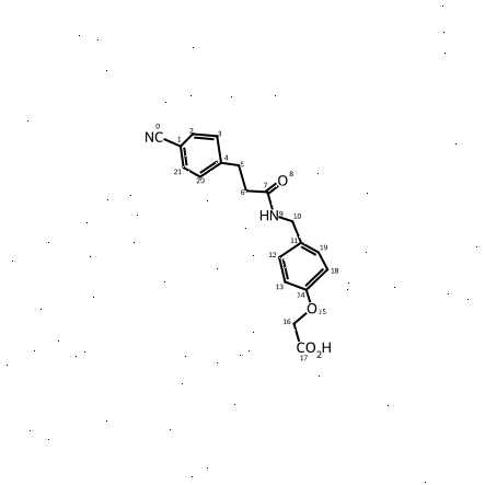 N#Cc1ccc(CCC(=O)NCc2ccc(OCC(=O)O)cc2)cc1